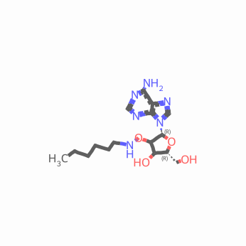 CCCCCCNOC1C(O)[C@@H](CO)O[C@H]1n1cnc2c(N)ncnc21